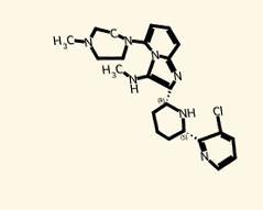 CNc1c([C@H]2CCC[C@@H](c3ncccc3Cl)N2)nc2cccc(N3CCN(C)CC3)n12